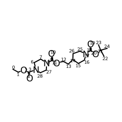 CCOC(=O)N1CCN(C(=O)OCCC2CCN(C(=O)OC(C)(C)C)CC2)CC1